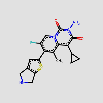 Cc1c(-c2cc3c(s2)CNC3)c(F)cn2c(=O)n(N)c(=O)c(C3CC3)c12